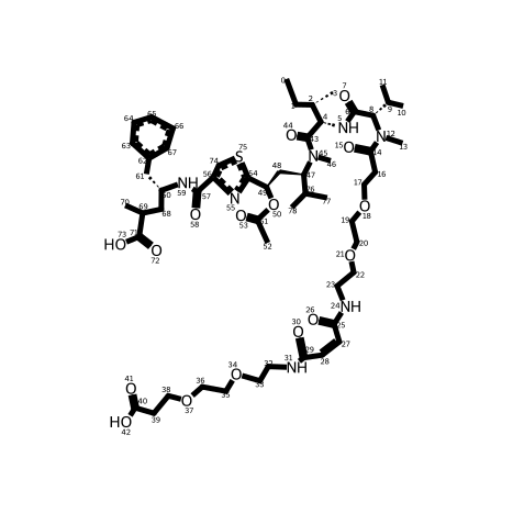 CC[C@H](C)[C@H](NC(=O)[C@H](C(C)C)N(C)C(=O)CCOCCOCCNC(=O)/C=C\C(=O)NCCOCCOCCC(=O)O)C(=O)N(C)[C@H](C[C@@H](OC(C)=O)c1nc(C(=O)N[C@@H](Cc2ccccc2)CC(C)C(=O)O)cs1)C(C)C